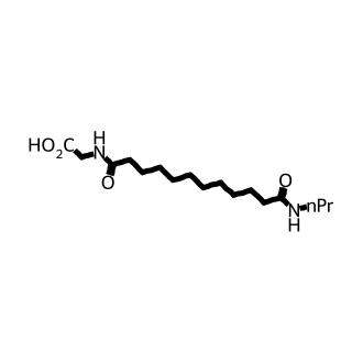 CCCNC(=O)CCCCCCCCCCC(=O)NCC(=O)O